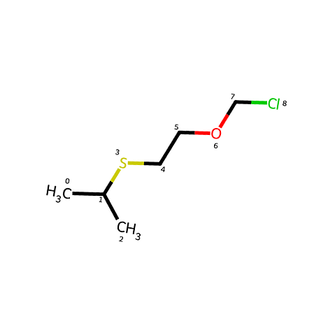 CC(C)SCCOCCl